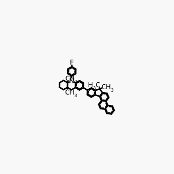 CC1(C)c2cc(-c3ccc4c(c3)CC3(C)CCCCC3(C)N4c3ccc(F)cc3)ccc2-c2c1ccc1c2ccc2ccccc21